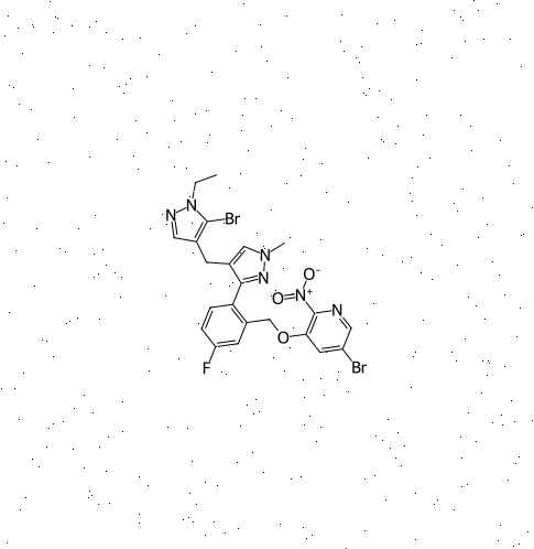 CCn1ncc(Cc2cn(C)nc2-c2ccc(F)cc2COc2cc(Br)cnc2[N+](=O)[O-])c1Br